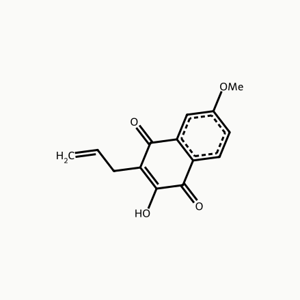 C=CCC1=C(O)C(=O)c2ccc(OC)cc2C1=O